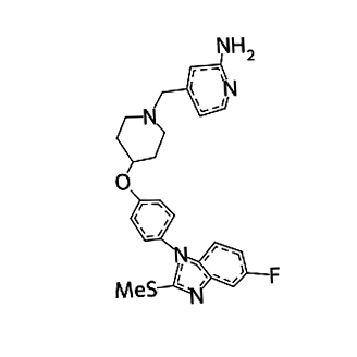 CSc1nc2cc(F)ccc2n1-c1ccc(OC2CCN(Cc3ccnc(N)c3)CC2)cc1